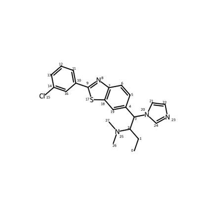 CCC(C(c1ccc2nc(-c3cccc(Cl)c3)sc2c1)n1ccnc1)N(C)C